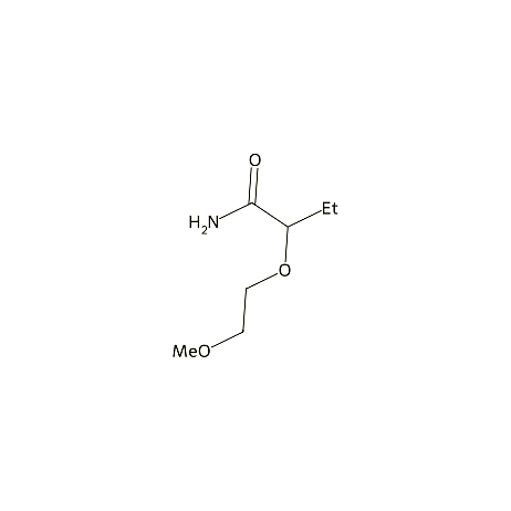 CCC(OCCOC)C(N)=O